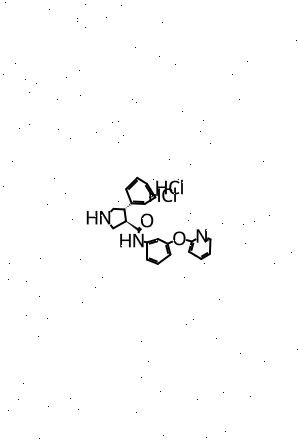 Cl.Cl.O=C(Nc1cccc(Oc2ccccn2)c1)[C@H]1CNC[C@@H]1c1ccccc1